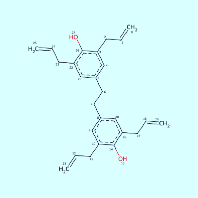 C=CCc1cc(CCc2cc(CC=C)c(O)c(CC=C)c2)cc(CC=C)c1O